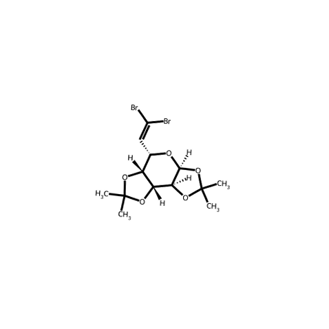 CC1(C)O[C@@H]2O[C@@H](C=C(Br)Br)[C@H]3OC(C)(C)O[C@H]3[C@@H]2O1